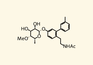 CO[C@@H]1[C@@H](O)[C@@H](O)[C@H](Oc2ccc(CCNC(C)=O)c(-c3cccc(C)c3)c2)O[C@H]1C